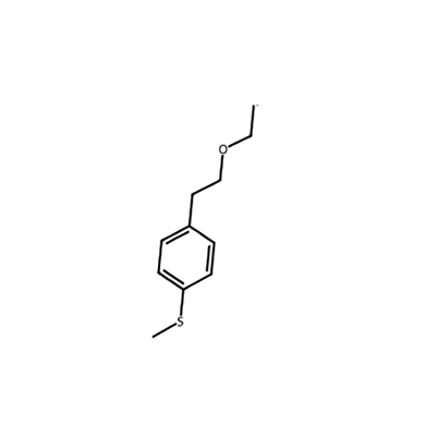 [CH2]COCCc1ccc(SC)cc1